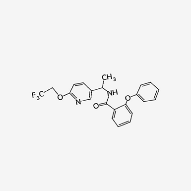 CC(NC(=O)c1ccccc1Oc1ccccc1)c1ccc(OCC(F)(F)F)nc1